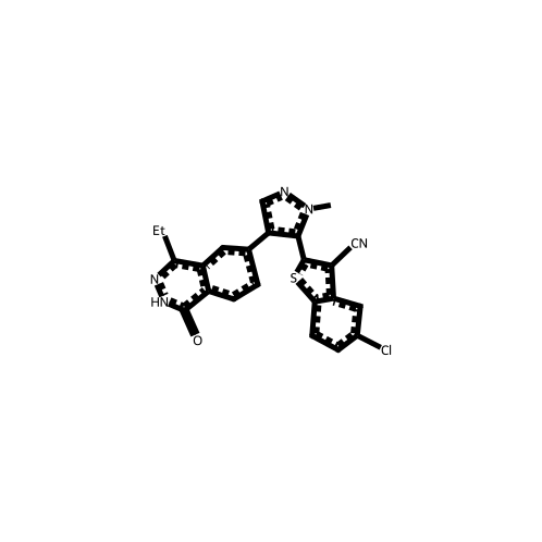 CCc1n[nH]c(=O)c2ccc(-c3cnn(C)c3-c3sc4ccc(Cl)cc4c3C#N)cc12